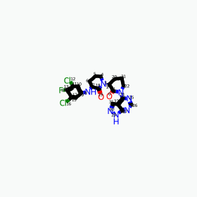 O=C1[C@H](N2CCCC(Nc3cc(Cl)c(F)c(Cl)c3)C2=O)CCCN1c1ncnc2[nH]ncc12